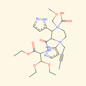 CC#CC[N+]1(c2ccn[nH]2)CC[N+](COC)(C(=O)O)C(c2ccn[nH]2)C1C(=O)NC(C(=O)OCC)C(OCC)OCC